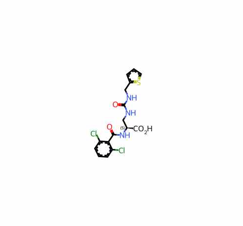 O=C(NCc1cccs1)NC[C@H](NC(=O)c1c(Cl)cccc1Cl)C(=O)O